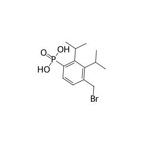 CC(C)c1c(CBr)ccc(P(=O)(O)O)c1C(C)C